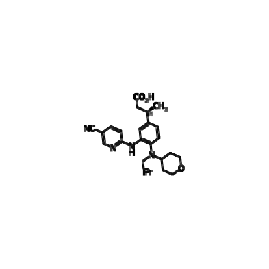 CC(C)CN(c1ccc([C@H](C)CC(=O)O)cc1Nc1ccc(C#N)cn1)C1CCOCC1